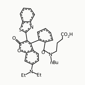 CCCCN(CCCC(=O)O)C(=O)c1ccccc1-c1c(-c2nc3ccccc3s2)c(=O)oc2cc(N(CC)CC)ccc12